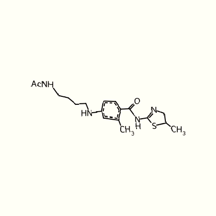 CC(=O)NCCCCNc1ccc(C(=O)NC2=NCC(C)S2)c(C)c1